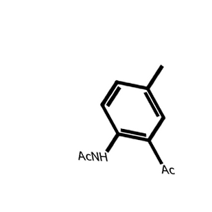 CC(=O)Nc1ccc(C)cc1C(C)=O